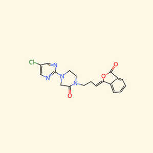 O=C1OC(=CCCN2CCN(c3ncc(Cl)cn3)CC2=O)c2ccccc21